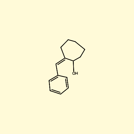 OC1CCCCC/C1=C/c1ccccc1